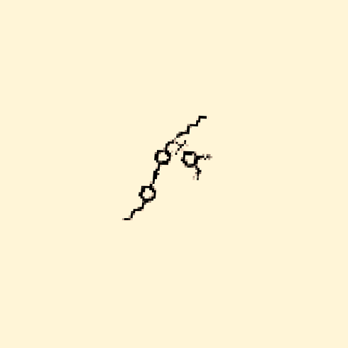 CCCCCCN(Cc1ccc(C#Cc2ccc(CCCC)cc2)cc1)S(=O)(=O)c1ccc(C=O)c(O)c1